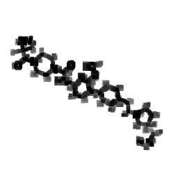 CC(C)(N)C(=O)N1CCN(C(=O)Nc2ccn(-c3ccc(CCN4CC[C@H](CN)C4)cc3)c(=O)n2)CC1.Cl